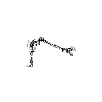 CC(=O)N1c2ccc(-c3ccc(C(=O)NCCOCCOCCOCCOCCOCCOCCOCCOCCNC(=O)c4nc(NC(=O)CCNC(=O)c5cc(NC(=O)c6nc(NC(=O)CCNC(=O)COCCOCCOCCN7CCN(CC8CCNCC8)CC7)cn6C)cn5C)cn4C)cc3)cc2[C@H](Nc2ccc(Cl)cc2)C[C@@H]1C